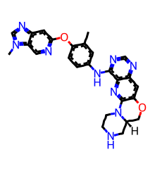 Cc1cc(Nc2ncnc3cc4c(nc23)N2CCNC[C@H]2CO4)ccc1Oc1cc2ncn(C)c2cn1